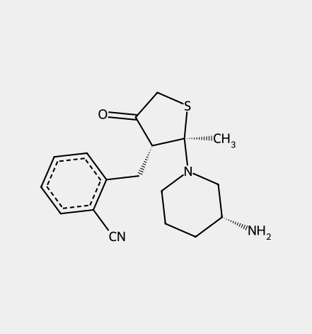 C[C@@]1(N2CCC[C@@H](N)C2)SCC(=O)[C@H]1Cc1ccccc1C#N